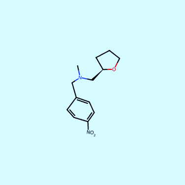 CN(Cc1ccc([N+](=O)[O-])cc1)C[C@H]1CCCO1